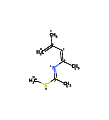 C=C(C)/C=C(C)\N=C(/C)SC